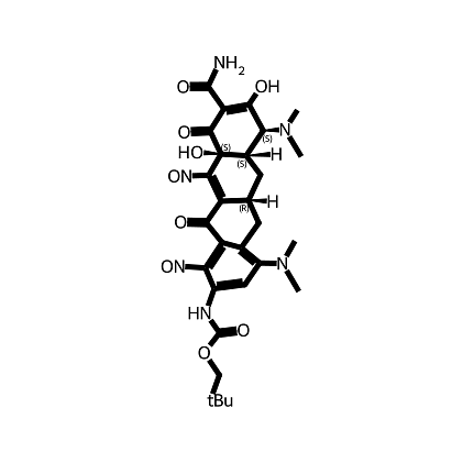 CN(C)c1cc(NC(=O)OCC(C)(C)C)c(N=O)c2c1C[C@H]1C[C@H]3[C@H](N(C)C)C(O)=C(C(N)=O)C(=O)[C@@]3(O)C(N=O)=C1C2=O